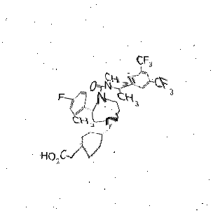 Cc1cc(F)ccc1[C@H]1CN(C[C@H]2CC[C@H](CC(=O)O)CC2)CCN1C(=O)N(C)C(C)c1cc(C(F)(F)F)cc(C(F)(F)F)c1